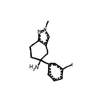 Cn1cc2c(n1)CCC(N)(c1cccc(I)c1)C2